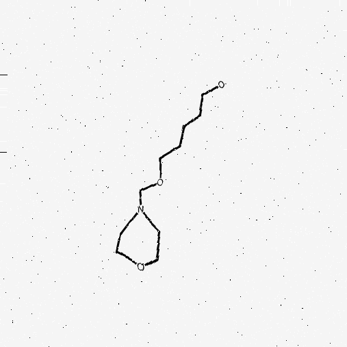 [O]CCCCCOCN1CCOCC1